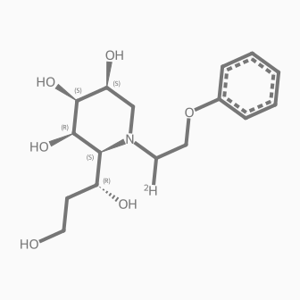 [2H]C(COc1ccccc1)N1C[C@H](O)[C@H](O)[C@H](O)[C@@H]1[C@H](O)CCO